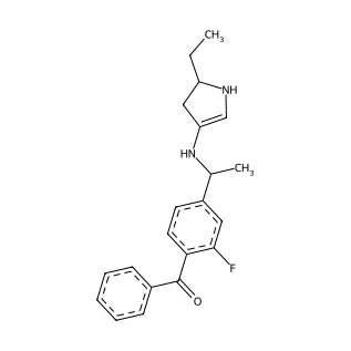 CCC1CC(NC(C)c2ccc(C(=O)c3ccccc3)c(F)c2)=CN1